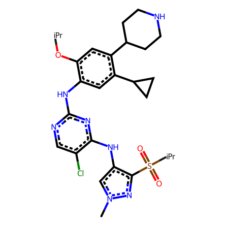 CC(C)Oc1cc(C2CCNCC2)c(C2CC2)cc1Nc1ncc(Cl)c(Nc2cn(C)nc2S(=O)(=O)C(C)C)n1